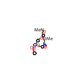 CNC(=O)Cc1cccc(OCc2ccc(C3CCN(C(=O)OCc4ccccc4)CC3OCc3ccc4c(c3)N(CCCOC)CCO4)cc2)c1